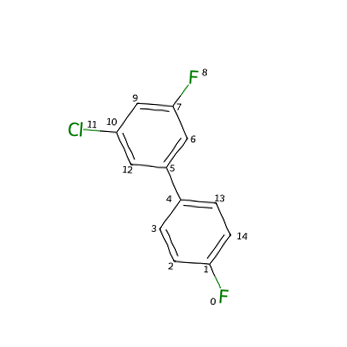 Fc1ccc(-c2cc(F)cc(Cl)c2)cc1